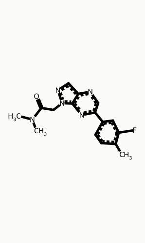 Cc1ccc(-c2cnc3cnn(CC(=O)N(C)C)c3n2)cc1F